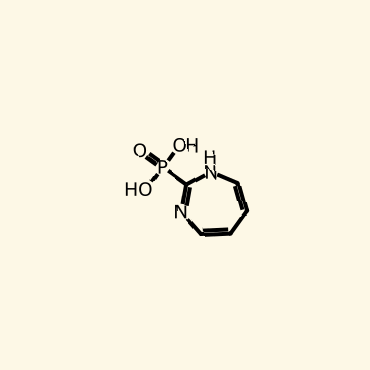 O=P(O)(O)C1=NC=CC=CN1